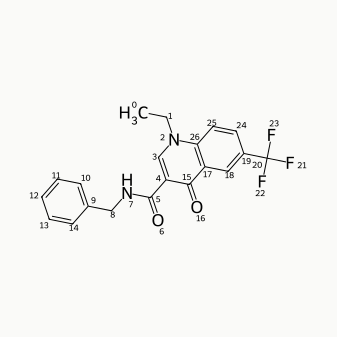 CCn1cc(C(=O)NCc2ccccc2)c(=O)c2cc(C(F)(F)F)ccc21